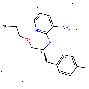 Cc1ccc(C[C@@H](COCCC#N)Nc2ncccc2N)cc1